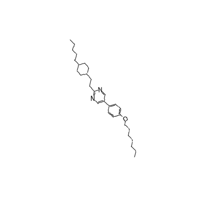 CCCCCCCOc1ccc(-c2cnc(CCC3CCC(CCCCC)CC3)nc2)cc1